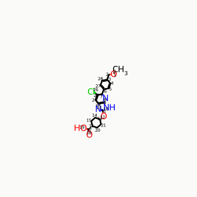 COCc1ccc(-c2nc3[nH]c(O[C@H]4CC[C@H](C(=O)O)CC4)nc3cc2Cl)cc1